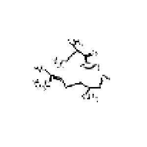 C=C[C](C)CCC=C(C)C.CC(C)C(=O)O